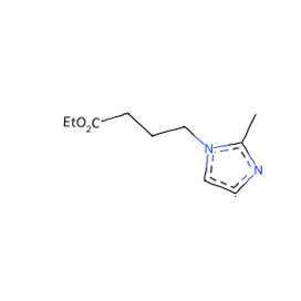 CCOC(=O)CCCn1c[c]nc1C